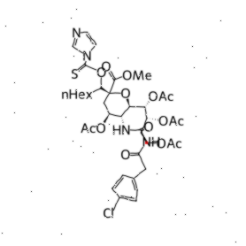 CCCCCCC(OC(=S)n1ccnc1)[C@]1(C(=O)OC)C[C@H](OC(C)=O)[C@@H](NC(=O)COC(C)=O)[C@H]([C@H](OC(C)=O)[C@@H](CNC(=O)Cc2ccc(Cl)cc2)OC(C)=O)O1